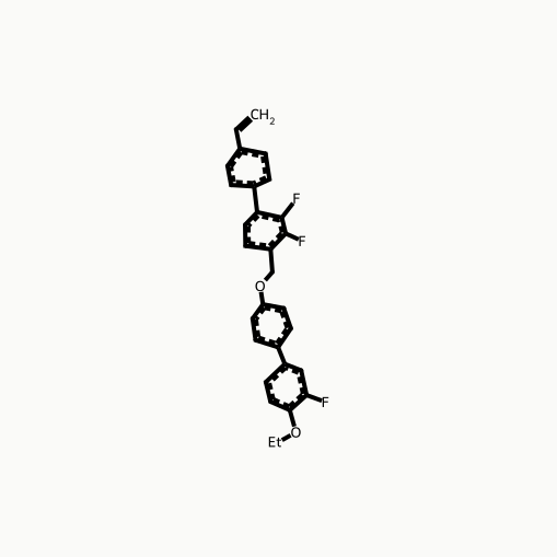 C=Cc1ccc(-c2ccc(COc3ccc(-c4ccc(OCC)c(F)c4)cc3)c(F)c2F)cc1